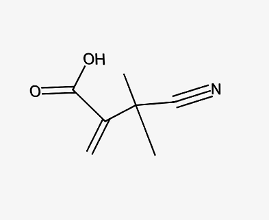 C=C(C(=O)O)C(C)(C)C#N